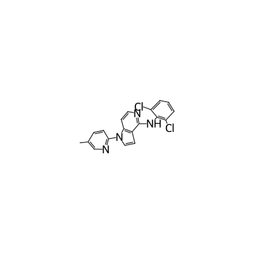 Cc1ccc(-n2ccc3c(Nc4c(Cl)cccc4Cl)nccc32)nc1